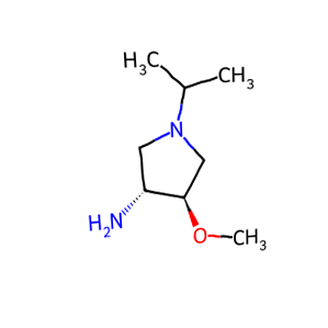 CO[C@@H]1CN(C(C)C)C[C@H]1N